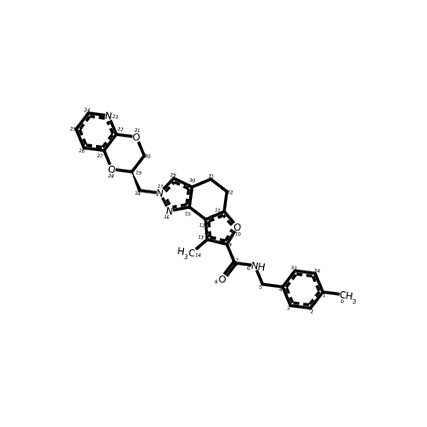 Cc1ccc(CNC(=O)c2oc3c(c2C)-c2nn(C[C@@H]4COc5ncccc5O4)cc2CC3)cc1